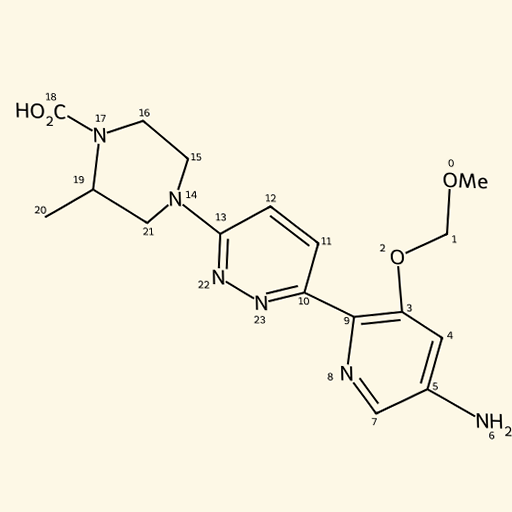 COCOc1cc(N)cnc1-c1ccc(N2CCN(C(=O)O)C(C)C2)nn1